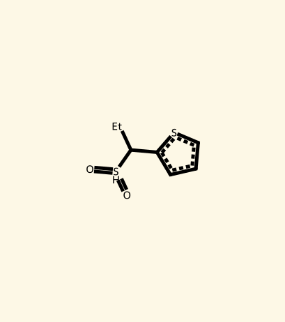 CCC(c1cccs1)[SH](=O)=O